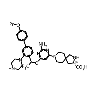 CC(C)Oc1ccc(-c2ccc(C(Oc3cc(N4CCC5(CC4)CN[C@H](C(=O)O)C5)nc(N)n3)C(F)(F)F)c(N3CCNCC3)c2)cc1